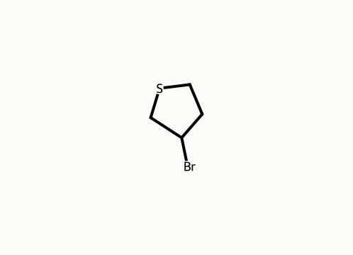 BrC1CCSC1